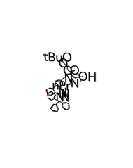 CCCc1nc(C(C)(C)O)c(C(=O)OCOC(=O)C(C)(C)C)n1Cc1ccc(-c2ccccc2-c2nnnn2C(c2ccccc2)(c2ccccc2)c2ccccc2)cc1